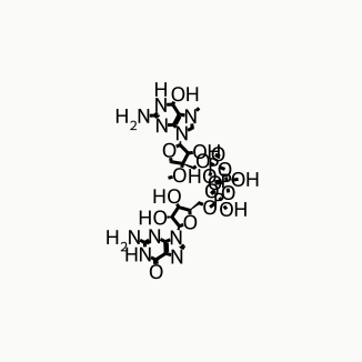 CO[C@]1(COP(=O)(O)OP(=O)(O)OP(=O)(O)OC[C@H]2O[C@@H](n3cnc4c(=O)[nH]c(N)nc43)[C@@H](O)C2O)CO[C@H](N2CN(C)C3=C2N=C(N)NC3O)C1O